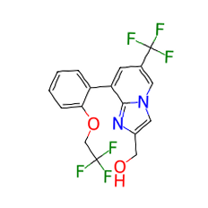 OCc1cn2cc(C(F)(F)F)cc(-c3ccccc3OCC(F)(F)F)c2n1